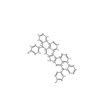 Cc1ccc(-n2c3ccccc3c3cccc4c5c(cc2c34)sc2cc3c4c(cccc4c25)c2ccccc2n3-c2ccc(C)cc2)cc1